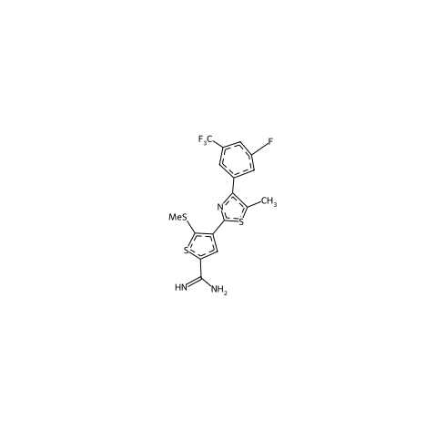 CSc1sc(C(=N)N)cc1-c1nc(-c2cc(F)cc(C(F)(F)F)c2)c(C)s1